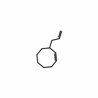 C=CCC1/C=C\CCCCC1